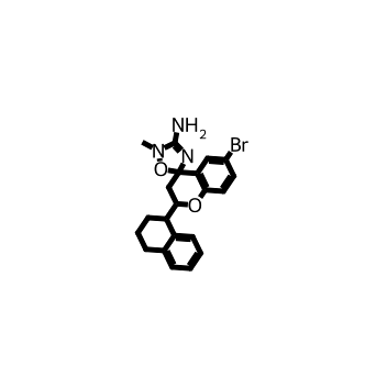 CN1OC2(CC(C3CCCc4ccccc43)Oc3ccc(Br)cc32)N=C1N